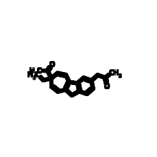 CCC1(C(C)=O)C=CC2=C(C=C1)c1cc(CC(C)=O)ccc1C2